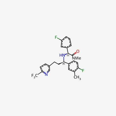 CNC(=O)[C@@H](N[C@H](CCc1ccc(C(F)(F)F)nc1)c1ccc(F)c(C)c1)c1cccc(F)c1